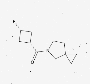 O=C([C@H]1C[C@@H](F)C1)N1CCC2(CC2)C1